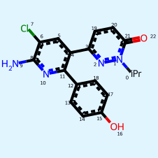 CC(C)n1nc(-c2cc(Cl)c(N)nc2-c2ccc(O)cc2)ccc1=O